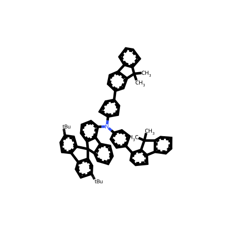 CC(C)(C)c1ccc2c(c1)C1(c3cc(C(C)(C)C)ccc3-2)c2ccccc2-c2c(N(c3ccc(-c4ccc5c(c4)C(C)(C)c4ccccc4-5)cc3)c3ccc(-c4cccc5c4C(C)(C)c4ccccc4-5)cc3)cccc21